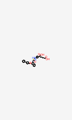 O=C(O)CCCCCC(C(=O)O)c1ccc(NC2=NC(=O)/C(=C\c3cc4ccccc4cc3OCc3ccc(-c4ccccc4)cc3)S2)cc1